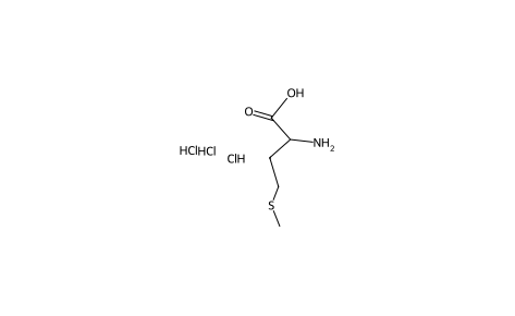 CSCCC(N)C(=O)O.Cl.Cl.Cl